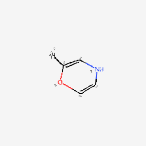 [2H]C1=CNC=CO1